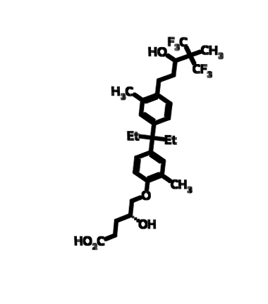 CCC(CC)(c1ccc(CCC(O)C(C)(C(F)(F)F)C(F)(F)F)c(C)c1)c1ccc(OC[C@H](O)CCC(=O)O)c(C)c1